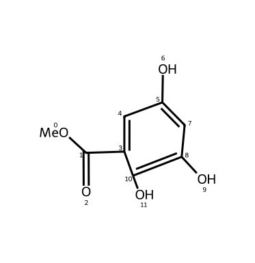 COC(=O)c1cc(O)cc(O)c1O